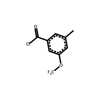 Cc1cc(OC(F)(F)F)cc(C(=O)Cl)c1